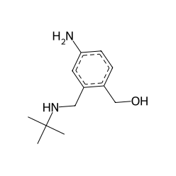 CC(C)(C)NCc1cc(N)ccc1CO